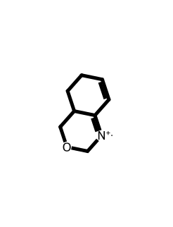 C1=CC2=[N+]COCC2CC1